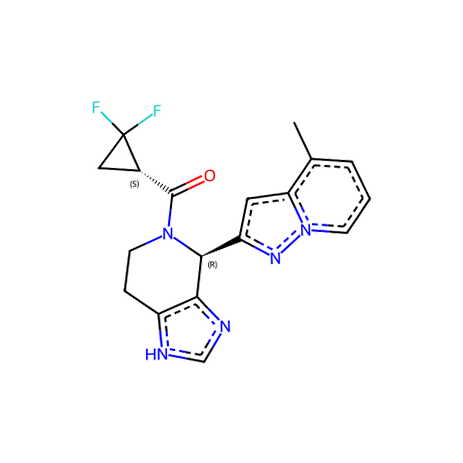 Cc1cccn2nc([C@H]3c4nc[nH]c4CCN3C(=O)[C@@H]3CC3(F)F)cc12